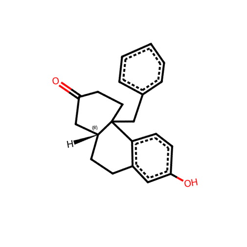 O=C1CCC2(Cc3ccccc3)c3ccc(O)cc3CC[C@@H]2C1